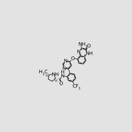 C[C@H]1CC[C@@H](C(=O)Nc2cc(C(F)(F)F)ccc2-c2cc(Oc3cccc4[nH]c(=O)c(N)nc34)ncn2)N1